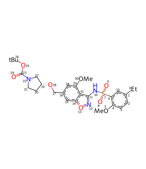 CCc1ccc(OC)c(S(=O)(=O)Nc2noc3cc(CO[C@@H]4CCN(C(=O)OC(C)(C)C)C4)cc(OC)c23)c1